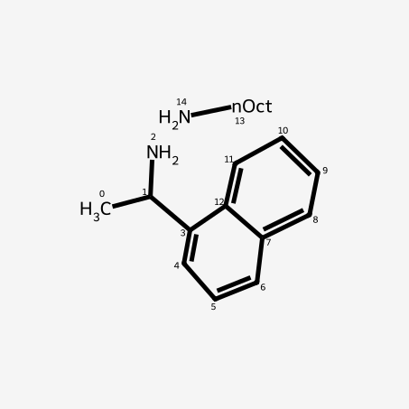 CC(N)c1cccc2ccccc12.CCCCCCCCN